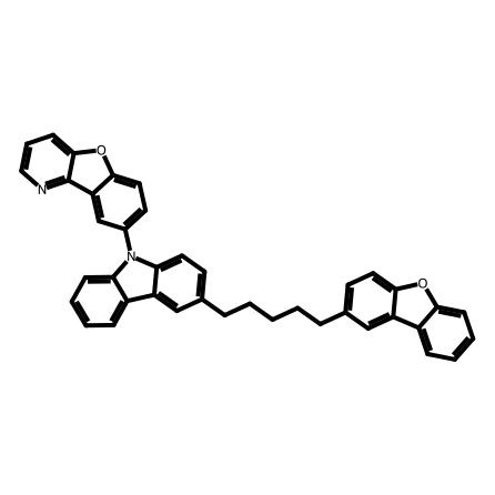 c1ccc2c(c1)oc1ccc(CCCCCc3ccc4c(c3)c3ccccc3n4-c3ccc4oc5cccnc5c4c3)cc12